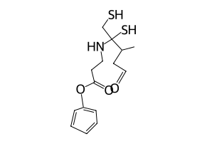 CC(CC=O)C(S)(CS)NCCC(=O)Oc1ccccc1